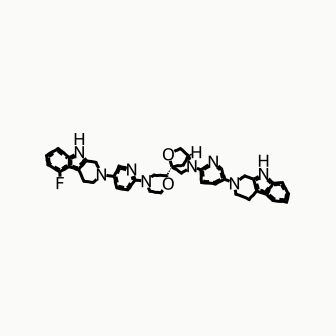 Fc1cccc2[nH]c3c(c12)CCN(c1ccc(N2CCOC([C@@]45C[C@@H](CO4)N(c4ccc(N6CCc7c([nH]c8ccccc78)C6)cn4)C5)C2)nc1)C3